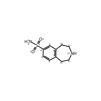 NS(=O)(=O)c1ccc2c(c1)CCNCC2